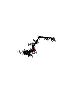 CC(C)(CCCCCC(O)CCCCCC(C)(C)C(=O)SCCNC(=O)CCNC(=O)C(O)C(C)(C)COP(=O)(O)OP(=O)(O)OCC1OC(n2cnc3c(N)ncnc32)C(O)C1OP(=O)(O)O)C(=O)O